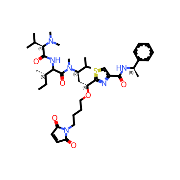 CC[C@H](C)C(NC(=O)[C@@H](C(C)C)N(C)C)C(=O)N(C)[C@H](C[C@@H](OCCCCN1C(=O)C=CC1=O)c1nc(C(=O)N[C@H](C)c2ccccc2)cs1)C(C)C